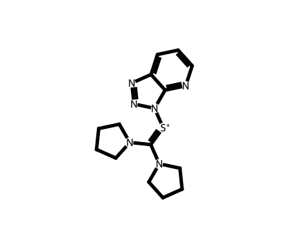 c1cnc2c(c1)nnn2[S+]=C(N1CCCC1)N1CCCC1